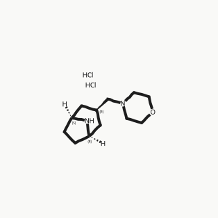 C1CN(C[C@H]2C[C@H]3CC[C@@H](C2)N3)CCO1.Cl.Cl